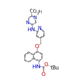 CC(C)(C)OC(=O)Nc1ccc(OCc2ccnc(Nc3cnc(C(=O)O)cn3)c2)c2ccccc12